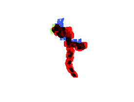 COCCOCCOCCOCCOCCOCCOCCOCCNC(=O)[C@H](CCCCNC(=O)CCS(=O)(=O)Cc1cc2nc(c1)OCCCOc1cc(F)ccc1-c1cc(ncc1F)N2)NC(=O)CCCCCN1C(=O)C=CC1=O